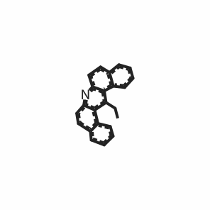 CCc1c2c(ccc3ccccc32)nc2ccc3ccccc3c12